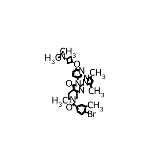 Cc1cc(C)n(-c2nc3c(c(=O)n2-c2ccc(O[C@H]4C[C@@H](N(C)C)C4)nc2)CC(C)N(C(=O)c2ccc(Br)c(C)c2)C3)n1